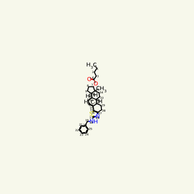 CCCCC(=O)O[C@H]1CC[C@H]2[C@@H]3CC=C4c5sc(NCc6ccccc6)nc5CC[C@]4(C)[C@H]3CC[C@]12C